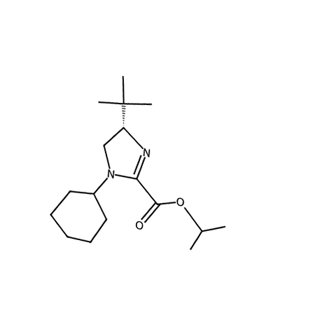 CC(C)OC(=O)C1=N[C@@H](C(C)(C)C)CN1C1CCCCC1